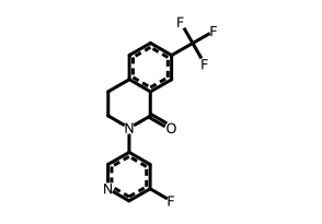 O=C1c2cc(C(F)(F)F)ccc2CCN1c1cncc(F)c1